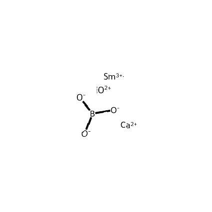 [Ca+2].[O+2].[O-]B([O-])[O-].[Sm+3]